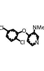 CNc1cnccc1Oc1cc(Cl)ccc1Cl